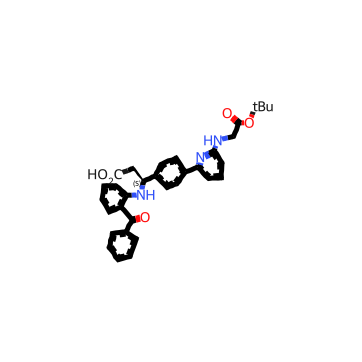 CC(C)(C)OC(=O)CNc1cccc(-c2ccc([C@H](CC(=O)O)Nc3ccccc3C(=O)c3ccccc3)cc2)n1